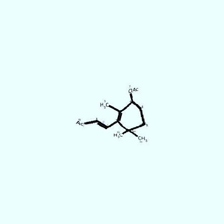 CC(=O)/C=C/C1=C(C)C(OC(C)=O)CCC1(C)C